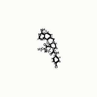 CNC(=O)[C@@]1(C)C(=O)N(Cc2ccc3c(N)ncnc3c2)CCN1C(=O)Nc1ccc(Cl)cc1